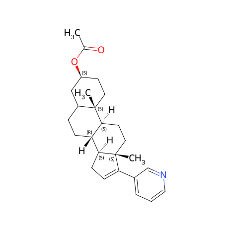 CC(=O)O[C@H]1CC[C@@]2(C)C(CC[C@@H]3[C@@H]2CC[C@]2(C)C(c4cccnc4)=CC[C@@H]32)C1